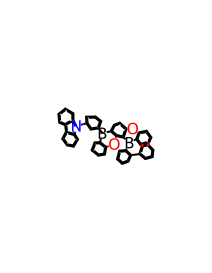 c1ccc(-c2ccccc2B2c3ccccc3Oc3ccc4c(c32)Oc2ccccc2B4c2cccc(-n3c4ccccc4c4ccccc43)c2)cc1